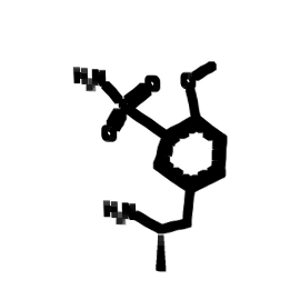 COc1ccc(C[C@H](C)N)cc1S(N)(=O)=O